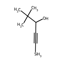 CC(C)(C)C(O)C#C[SiH3]